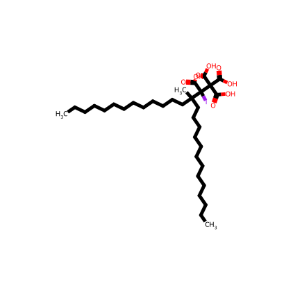 CCCCCCCCCCCCCC(C)(CCCCCCCCCCCCC)C(I)(C(=O)O)C(C(=O)O)(C(=O)O)C(=O)O